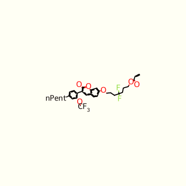 C=CC(=O)OCCCC(F)(F)CCCOc1ccc2cc(-c3ccc(CCCCC)cc3OC(F)(F)F)c(=O)oc2c1